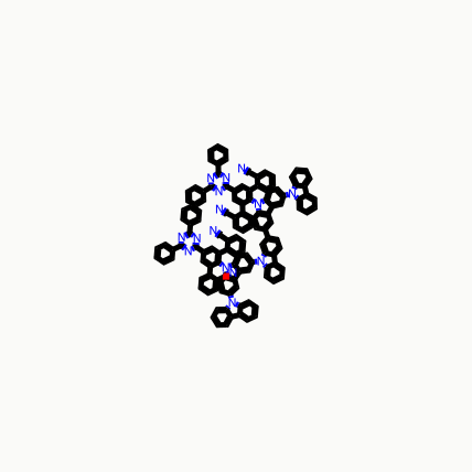 N#Cc1ccccc1-c1cc(-c2nc(-c3ccccc3)nc(-c3ccccc3)n2)cc(-c2ccccc2C#N)c1-n1c2ccc(-c3ccc4c5ccccc5n(-c5ccc6c(c5)c5cc(-n7c8ccccc8c8ccccc87)ccc5n6-c5c(-c6ccccc6C#N)cc(-c6nc(-c7ccccc7)nc(-c7ccccc7)n6)cc5-c5ccccc5C#N)c4c3)cc2c2cc(-n3c4ccccc4c4ccccc43)ccc21